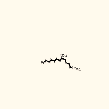 CCCCCCCCCCCCCCC(CCCCCCC(C)C)C(=O)O